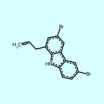 C=CCc1cc(Br)cc2c1[nH]c1ccc(Br)cc12